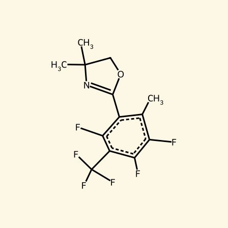 Cc1c(F)c(F)c(C(F)(F)F)c(F)c1C1=NC(C)(C)CO1